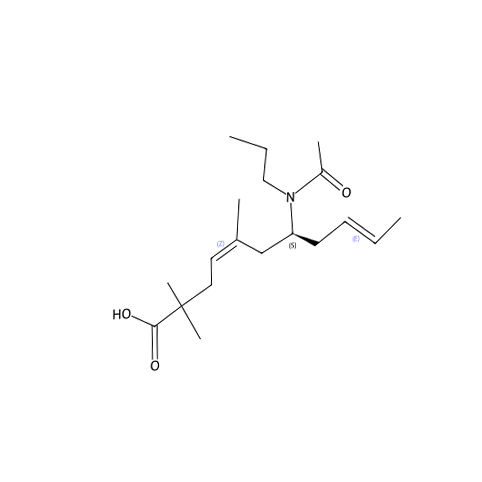 C/C=C/C[C@@H](C/C(C)=C\CC(C)(C)C(=O)O)N(CCC)C(C)=O